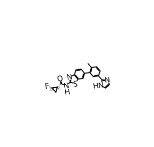 Cc1ccc(-c2ncc[nH]2)cc1-c1ccc2nc(NC(=O)[C@@H]3C[C@@H]3F)sc2c1